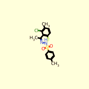 CC(=NNS(=O)(=O)c1ccc(C)cc1)c1c(F)ccc(C)c1Cl